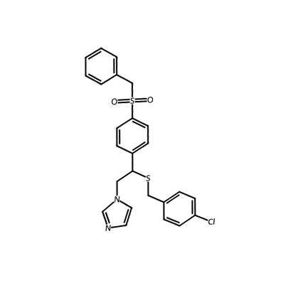 O=S(=O)(Cc1ccccc1)c1ccc(C(Cn2ccnc2)SCc2ccc(Cl)cc2)cc1